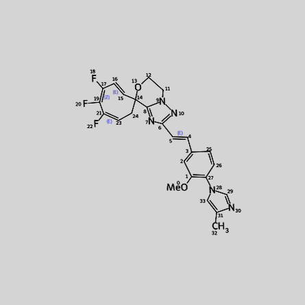 COc1cc(/C=C/c2nc3n(n2)CCOC32/C=C/C(F)=C(F)\C(F)=C/C2)ccc1-n1cnc(C)c1